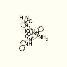 NC(=O)C[C@H](NC(=O)c1ccc2ccccc2n1)C(=O)N[C@@H](Cc1ccccc1)[C@H](O)CN1CCCC[C@H]1C(N)=O